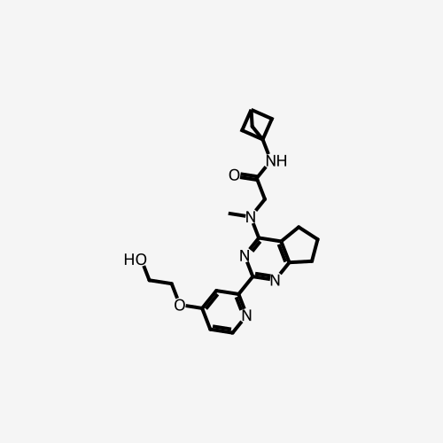 CN(CC(=O)NC12CC(C1)C2)c1nc(-c2cc(OCCO)ccn2)nc2c1CCC2